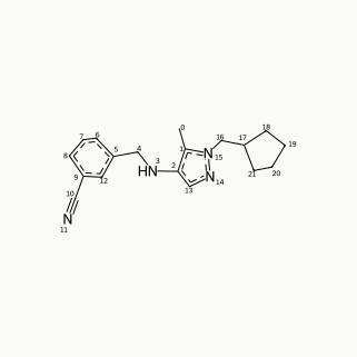 Cc1c(NCc2cccc(C#N)c2)cnn1CC1CCCC1